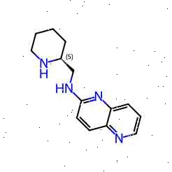 c1cnc2ccc(NC[C@@H]3CCCCN3)nc2c1